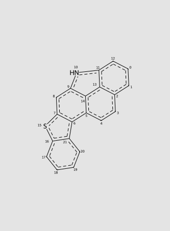 c1cc2ccc3c4c(cc5[nH]c(c1)c2c53)sc1ccccc14